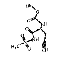 C#CCC(NC(=O)OC(C)(C)C)C(=O)NS(C)(=O)=O